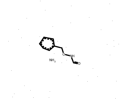 N.O=CNOCc1ccccc1